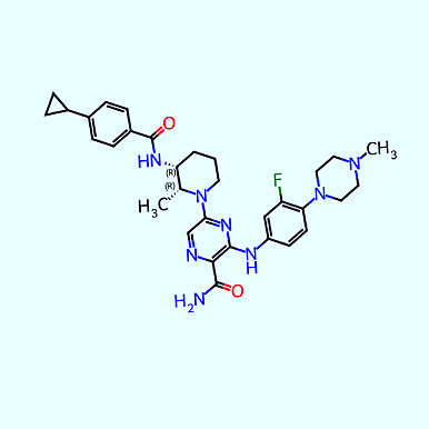 C[C@@H]1[C@H](NC(=O)c2ccc(C3CC3)cc2)CCCN1c1cnc(C(N)=O)c(Nc2ccc(N3CCN(C)CC3)c(F)c2)n1